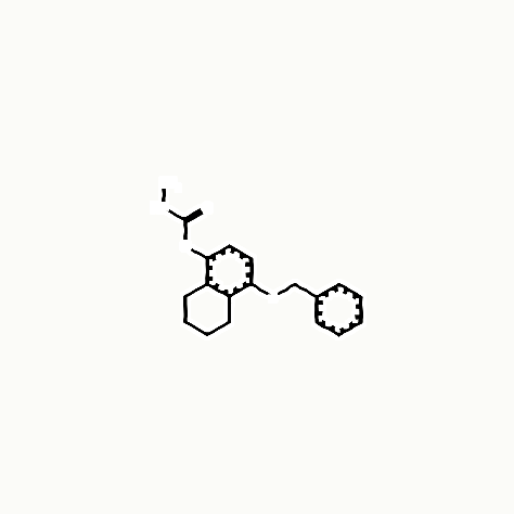 CNC(=O)Oc1ccc(SCc2ccccc2)c2c1CCCC2